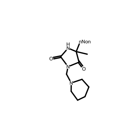 CCCCCCCCCC1(C)NC(=O)N(CN2CCCCC2)C1=O